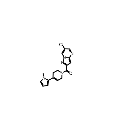 Cn1cccc1C1=CCN(C(=O)c2cc3ncc(Cl)cn3n2)CC1